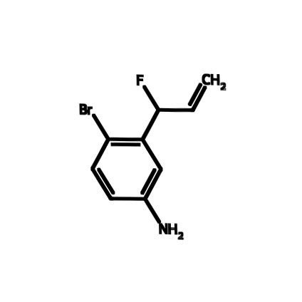 C=CC(F)c1cc(N)ccc1Br